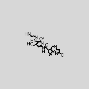 COc1nc(NC(=O)C2CC(C)(C)c3c2cnc2cc(Cl)nn32)cc(CO)c1N/N=C\C=N